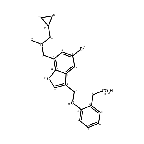 CN(Cc1cc(Br)cc2c(COc3ccccc3CC(=O)O)coc12)CC1CC1